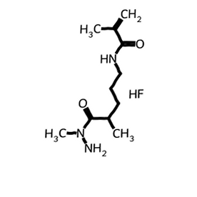 C=C(C)C(=O)NCCCC(C)C(=O)N(C)N.F